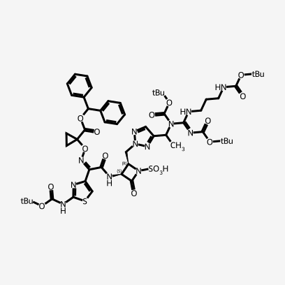 CC(c1cnn(C[C@@H]2[C@H](NC(=O)C(=NOC3(C(=O)OC(c4ccccc4)c4ccccc4)CC3)c3csc(NC(=O)OC(C)(C)C)n3)C(=O)N2S(=O)(=O)O)n1)N(C(=O)OC(C)(C)C)C(=NC(=O)OC(C)(C)C)NCCCNC(=O)OC(C)(C)C